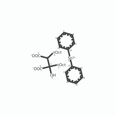 CCCCCCCCC(C(=O)[O-])C(O)(CCCCCCCC)C(=O)[O-].c1cc[c]([Sn+2][c]2ccccc2)cc1